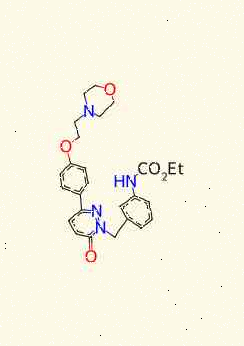 CCOC(=O)Nc1cccc(Cn2nc(-c3ccc(OCCN4CCOCC4)cc3)ccc2=O)c1